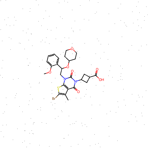 COc1ccccc1C(Cn1c(=O)n(C2CC(C(=O)O)C2)c(=O)c2c(C)c(Br)sc21)OC1CCOCC1